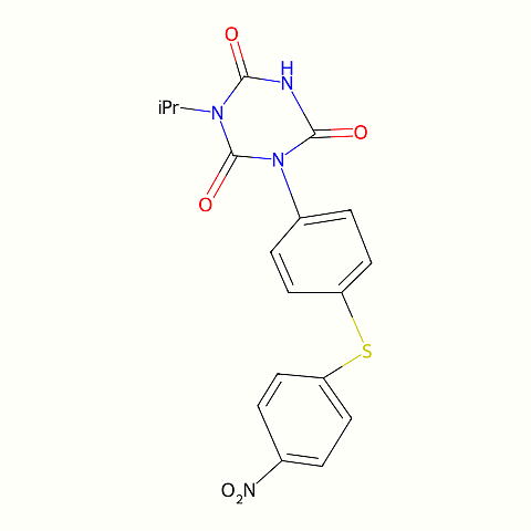 CC(C)n1c(=O)[nH]c(=O)n(-c2ccc(Sc3ccc([N+](=O)[O-])cc3)cc2)c1=O